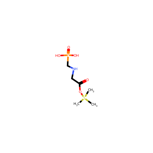 CS(C)(C)OC(=O)CNCP(=O)(O)O